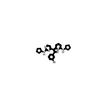 Brc1cccc(-c2nn3c(NC4CCCC4)cccc3c2-c2ccnc(NC3CCCC3)n2)c1